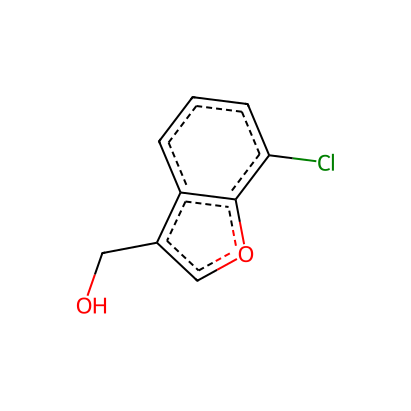 OCc1coc2c(Cl)cccc12